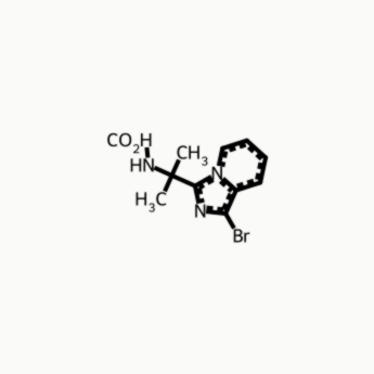 CC(C)(NC(=O)O)c1nc(Br)c2ccccn12